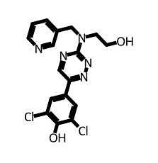 OCCN(Cc1cccnc1)c1ncc(-c2cc(Cl)c(O)c(Cl)c2)nn1